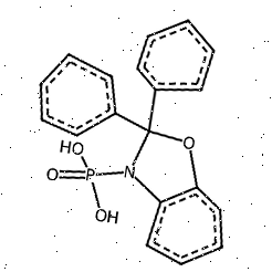 O=P(O)(O)N1c2ccccc2OC1(c1ccccc1)c1ccccc1